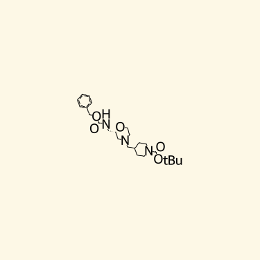 CC(C)(C)OC(=O)N1CCC(CN2CCO[C@@H](CNC(=O)OCc3ccccc3)C2)CC1